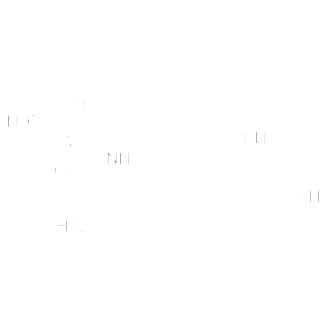 CC(C)CCCC(C)NS(C)(=O)=O